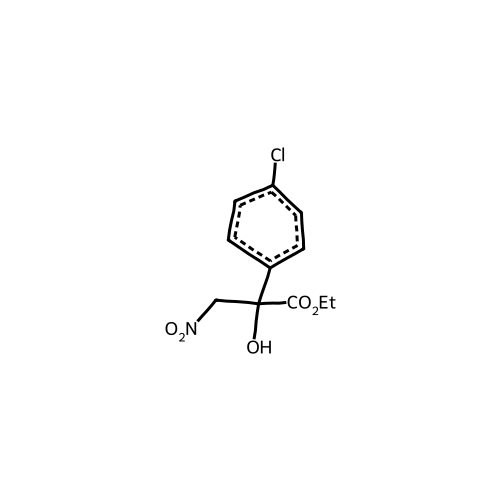 CCOC(=O)C(O)(C[N+](=O)[O-])c1ccc(Cl)cc1